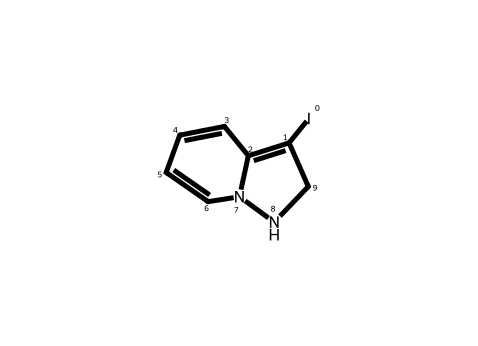 IC1=C2C=CC=CN2NC1